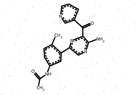 CC(=O)Nc1ccc(C)c(-c2cnc(N)c(C(=O)c3cccnc3)n2)c1